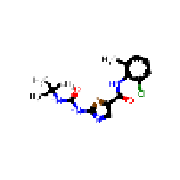 Cc1cccc(Cl)c1NC(=O)c1cnc(NC(=O)NC(C)(C)C)s1